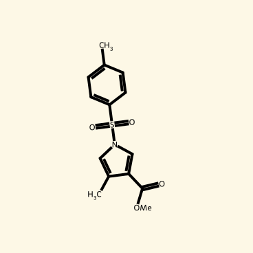 COC(=O)c1cn(S(=O)(=O)c2ccc(C)cc2)cc1C